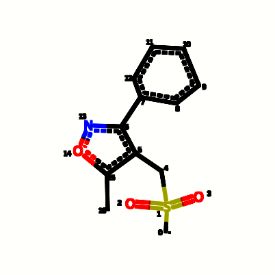 [CH2]S(=O)(=O)Cc1c(-c2ccccc2)noc1C